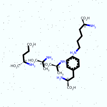 C[C@H](N)C(=O)O.C[C@H](N)C(=O)O.NCCCC[C@H](N)C(=O)O.N[C@@H](CCC(=O)O)C(=O)O.N[C@@H](Cc1ccccc1)C(=O)O